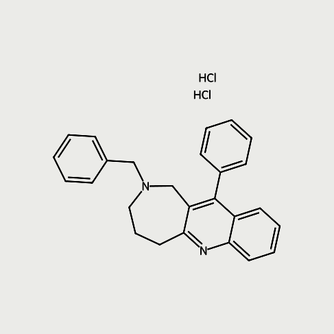 Cl.Cl.c1ccc(CN2CCCc3nc4ccccc4c(-c4ccccc4)c3C2)cc1